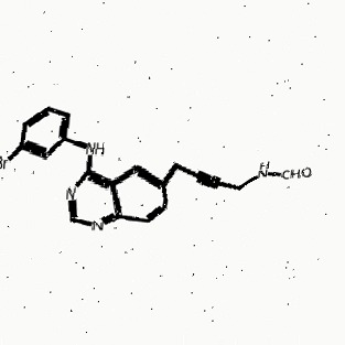 O=CNCC#CCc1ccc2ncnc(Nc3cccc(Br)c3)c2c1